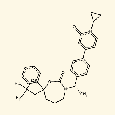 C[C@@H](c1ccc(-c2ccn(C3CC3)c(=O)c2)cc1)N1CCCC(CC(C)(C)O)(c2ccccc2)OC1=O